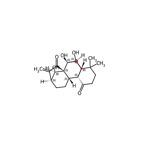 C=C1C(=O)[C@]23[C@H](O)[C@H]1CC[C@H]2[C@@]12CO[C@]3(O)[C@@H](O)[C@@H]1C(C)(C)CCC2=O